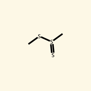 CSS(C)=S